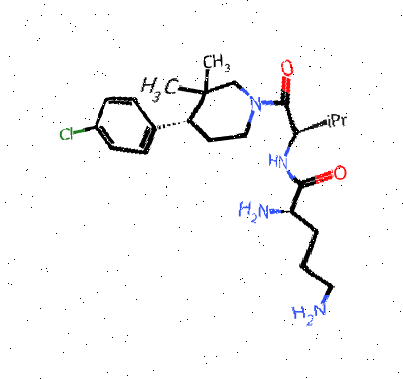 CC(C)[C@@H](NC(=O)[C@H](N)CCCN)C(=O)N1CC[C@H](c2ccc(Cl)cc2)C(C)(C)C1